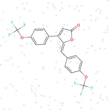 O=C1C=C(c2ccc(OC(F)(F)F)cc2)/C(=C/c2ccc(OC(F)(F)F)cc2)O1